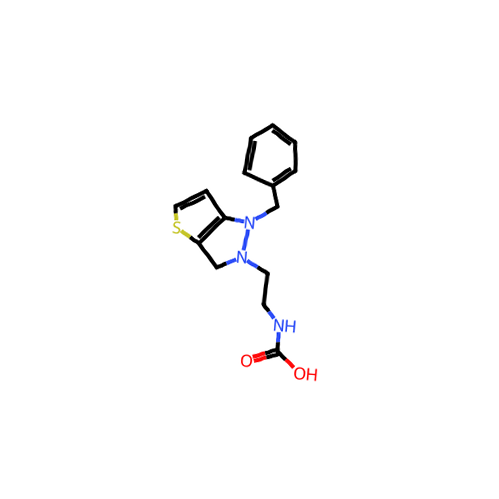 O=C(O)NCCN1Cc2sccc2N1Cc1ccccc1